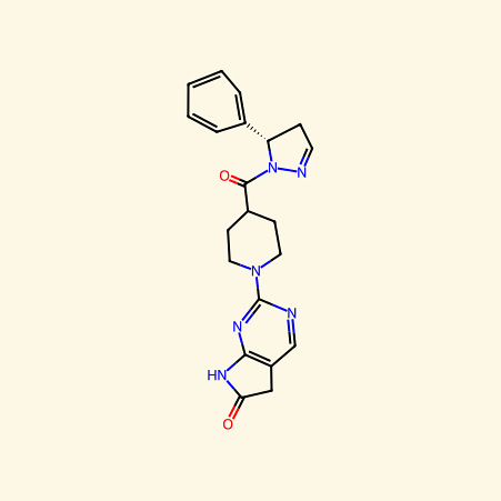 O=C1Cc2cnc(N3CCC(C(=O)N4N=CC[C@H]4c4ccccc4)CC3)nc2N1